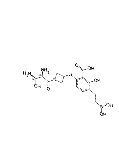 N[C@H](O)[C@@H](N)C(=O)N1CC(Oc2ccc(CCB(O)O)c(O)c2C(=O)O)C1